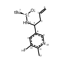 C=CCC(N[S@+]([O-])C(C)(C)C)c1cnc(C)c(F)c1